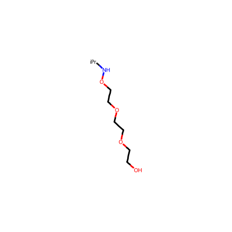 CC(C)NOCCOCCOCCO